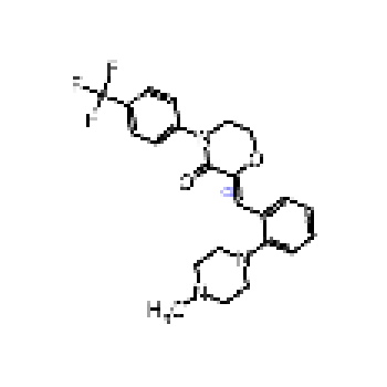 CN1CCN(c2ccccc2/C=C2\OCCN(c3ccc(C(F)(F)F)cc3)C2=O)CC1